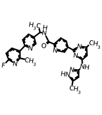 Cc1cc(Nc2cc(C)[nH]n2)nc(-c2ccc(C(=O)NC(C)c3ccc(-c4ccc(F)nc4C)nc3)nc2)n1